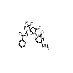 Nc1ccn([C@@H]2O[C@@](COC(=O)c3ccccc3)(C(F)(F)F)C[C@H]2F)c(=O)n1